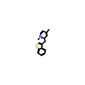 CC1=CC(Cc2csc3ccccc23)N(C)C=C1